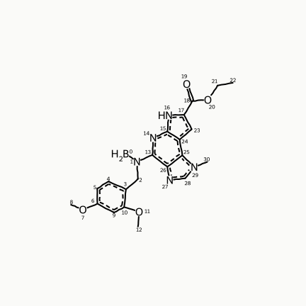 BN(Cc1ccc(OC)cc1OC)c1nc2[nH]c(C(=O)OCC)cc2c2c1ncn2C